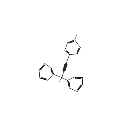 OC(C#Cc1ccc(Cl)cc1)(c1ccccc1)c1ccccc1